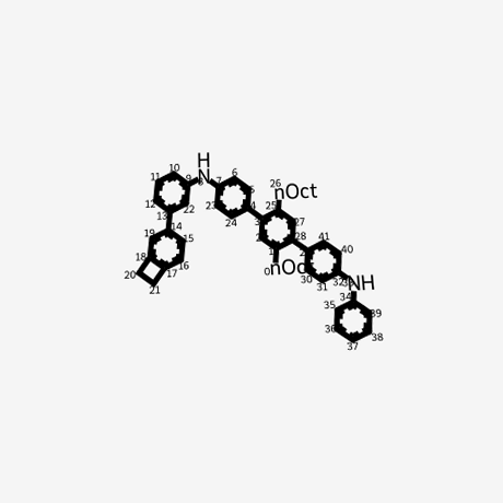 CCCCCCCCc1cc(-c2ccc(Nc3cccc(-c4ccc5c(c4)CC5)c3)cc2)c(CCCCCCCC)cc1-c1ccc(Nc2ccccc2)cc1